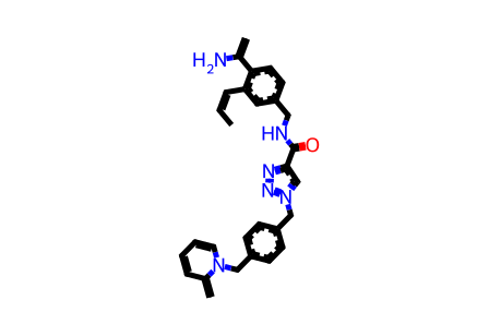 C=C(N)c1ccc(CNC(=O)c2cn(Cc3ccc(CN4C=CC=CC4=C)cc3)nn2)cc1/C=C\C